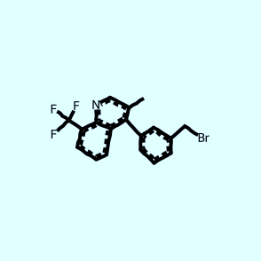 Cc1cnc2c(C(F)(F)F)cccc2c1-c1cccc(CBr)c1